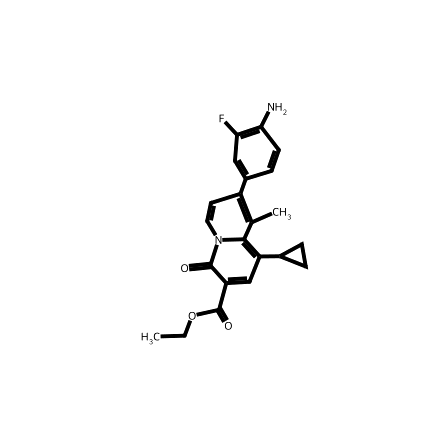 CCOC(=O)c1cc(C2CC2)c2c(C)c(-c3ccc(N)c(F)c3)ccn2c1=O